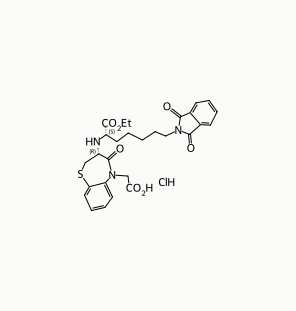 CCOC(=O)[C@H](CCCCCN1C(=O)c2ccccc2C1=O)N[C@H]1CSc2ccccc2N(CC(=O)O)C1=O.Cl